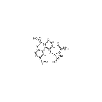 COc1ccc(CN(C(=O)O)c2cc(CC3C(=O)NC3C(N)=O)ccn2)cc1